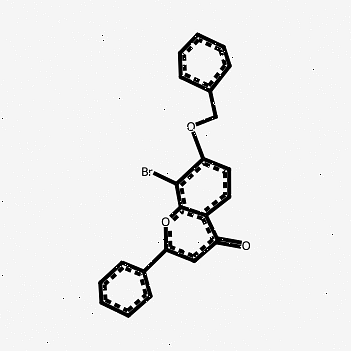 O=c1cc(-c2ccccc2)oc2c(Br)c(OCc3ccccc3)ccc12